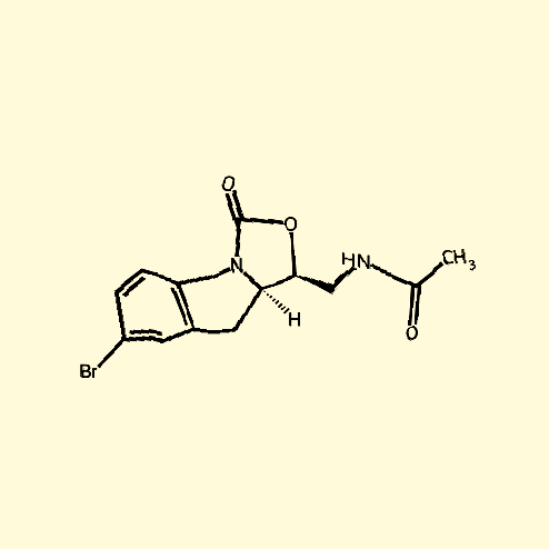 CC(=O)NC[C@@H]1OC(=O)N2c3ccc(Br)cc3C[C@H]12